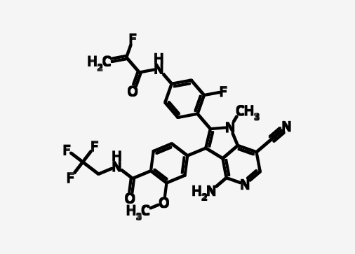 C=C(F)C(=O)Nc1ccc(-c2c(-c3ccc(C(=O)NCC(F)(F)F)c(OC)c3)c3c(N)ncc(C#N)c3n2C)c(F)c1